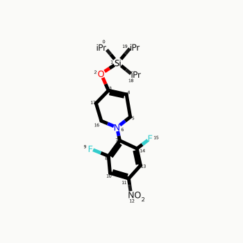 CC(C)[Si](OC1=CCN(c2c(F)cc([N+](=O)[O-])cc2F)CC1)(C(C)C)C(C)C